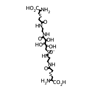 NC(CSCC(=O)NCCNC(=O)[C@@H](O)[C@H](O)[C@H](O)C[S+]([O-])NCCNC(=O)CSCC(N)C(=O)O)C(=O)O